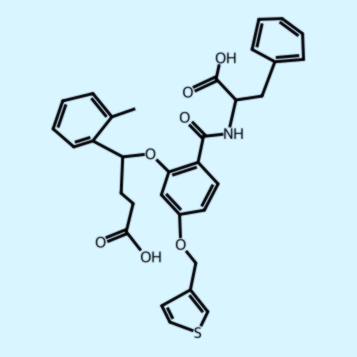 Cc1ccccc1C(CCC(=O)O)Oc1cc(OCc2ccsc2)ccc1C(=O)NC(Cc1ccccc1)C(=O)O